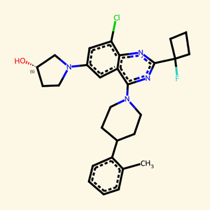 Cc1ccccc1C1CCN(c2nc(C3(F)CCC3)nc3c(Cl)cc(N4CC[C@H](O)C4)cc23)CC1